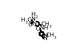 CC(NC(=O)c1ccc2cnn(C)c2c1)C1CCN(C(=O)[C@H](C)N)CC1